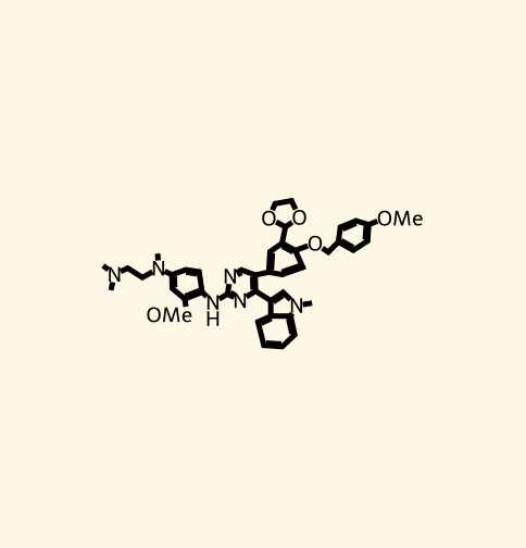 COc1ccc(COc2ccc(-c3cnc(Nc4ccc(N(C)CCN(C)C)cc4OC)nc3-c3cn(C)c4ccccc34)cc2C2OCCO2)cc1